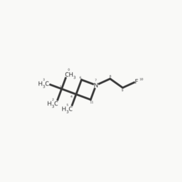 CC(C)(C)C1(C)CN(CCF)C1